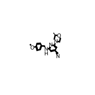 COc1ccc(CNc2cc(C#N)cc(N3CCO[C@H](C)C3)n2)cc1